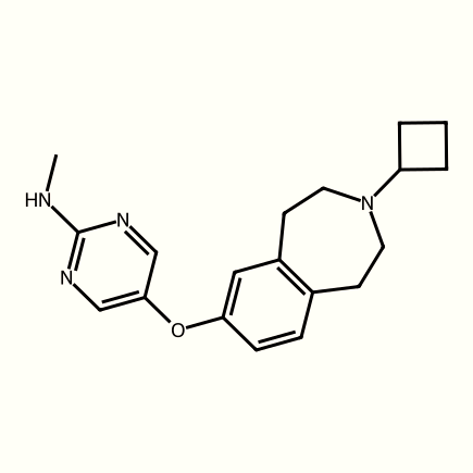 CNc1ncc(Oc2ccc3c(c2)CCN(C2CCC2)CC3)cn1